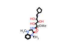 CO[C@@H](C(=O)NC1CN(C)c2ccccc2N(C)C1=O)[C@H](O)[C@@H](O)[C@H](O)/C=C/C1CCCC1